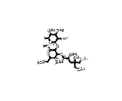 CC(=O)OCC1O[C@@H](OI)C(O[C@@H]2OC(C)[C@H](OC(C)=O)C(OC(C)=O)C2OC(C)=O)C(O[C@H](OC(C)=O)C(CC(O)(COC(C)=O)COC(C)=O)OC(C)=O)[C@@H]1OC(C)=O